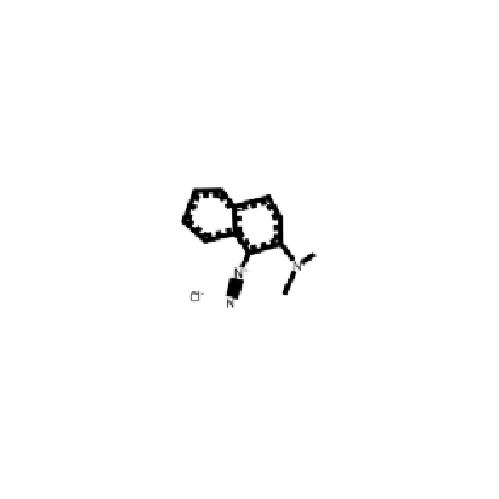 CN(C)c1ccc2ccccc2c1[N+]#N.[Cl-]